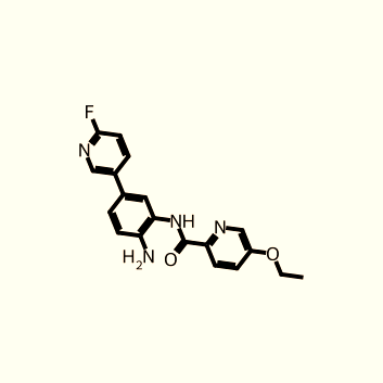 CCOc1ccc(C(=O)Nc2cc(-c3ccc(F)nc3)ccc2N)nc1